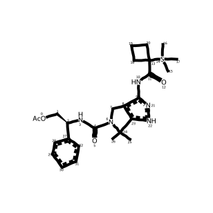 CC(=O)OC[C@@H](NC(=O)N1Cc2c(NC(=O)C3(S(C)(C)C)CCC3)n[nH]c2C1(C)C)c1ccccc1